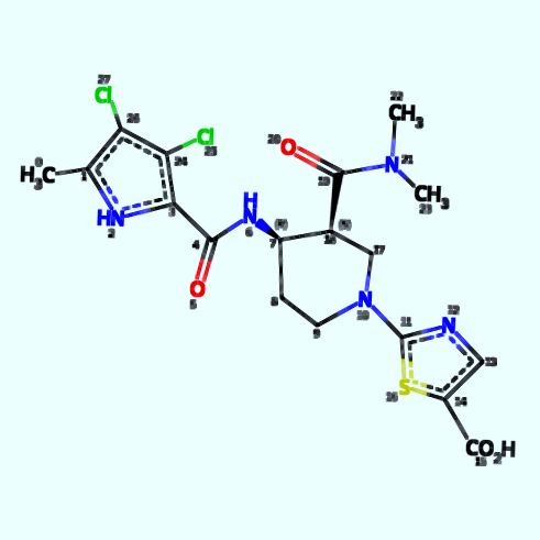 Cc1[nH]c(C(=O)N[C@@H]2CCN(c3ncc(C(=O)O)s3)C[C@@H]2C(=O)N(C)C)c(Cl)c1Cl